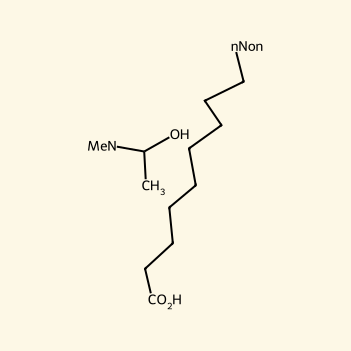 CCCCCCCCCCCCCCCCCC(=O)O.CNC(C)O